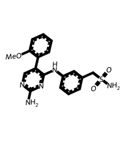 COc1ccccc1-c1cnc(N)nc1Nc1cccc(CS(N)(=O)=O)c1